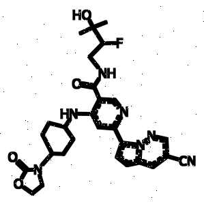 CC(C)(O)C(F)CNC(=O)c1cnc(-c2ccc3cc(C#N)cnn23)cc1NC1CCC(N2CCOC2=O)CC1